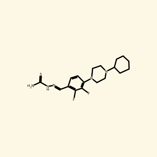 NC(=S)NN=Cc1ccc(N2CCN(C3CCCCC3)CC2)c(F)c1F